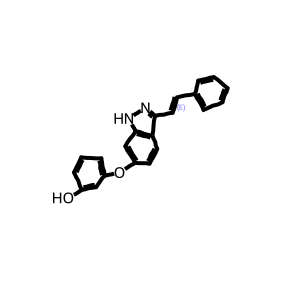 Oc1cccc(Oc2ccc3c(/C=C/c4ccccc4)n[nH]c3c2)c1